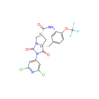 NC(=O)[C@H]1CN2C(=O)N(c3cc(Cl)nc(Cl)c3)C(=O)[C@]2(Cc2ccc(OC(F)(F)F)cc2)C1